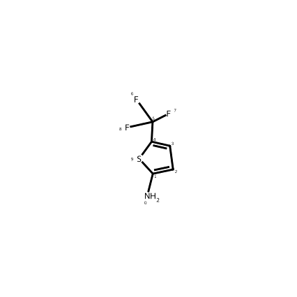 Nc1ccc(C(F)(F)F)s1